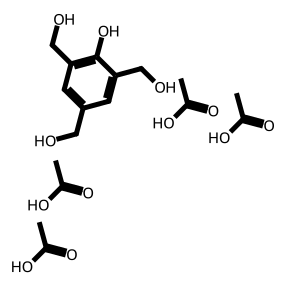 CC(=O)O.CC(=O)O.CC(=O)O.CC(=O)O.OCc1cc(CO)c(O)c(CO)c1